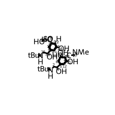 CC(C)(C)NCC(O)c1cc(O)cc(O)c1.CC(C)(C)NCC(O)c1cc(O)cc(O)c1.CNCC(=O)O.O=S(=O)(O)O